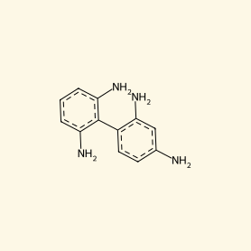 Nc1ccc(-c2c(N)cccc2N)c(N)c1